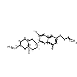 C=CCCc1cc(F)c2cc([C@@H]3CC[C@@H]4CC(CCCCCCC)CCC4C3)c(F)cc2c1